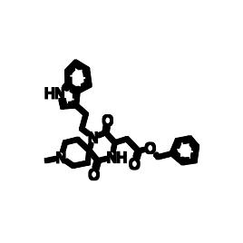 CN1CCC2(CC1)C(=O)NC(CC(=O)OCc1ccccc1)C(=O)N2CCc1c[nH]c2ccccc12